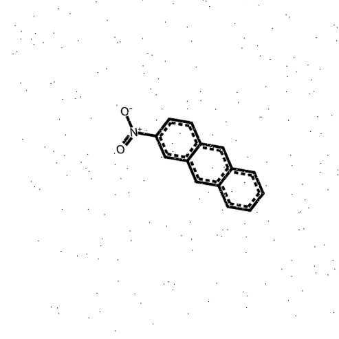 O=[N+]([O-])c1[c]c2cc3ccccc3cc2cc1